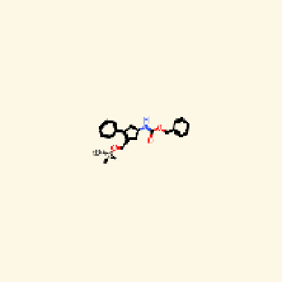 CC(C)(C)[Si](C)(C)OCC1CC(NC(=O)OCc2ccccc2)CC1c1ccccc1